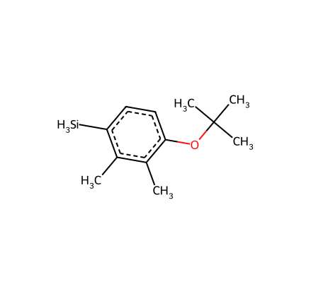 Cc1c([SiH3])ccc(OC(C)(C)C)c1C